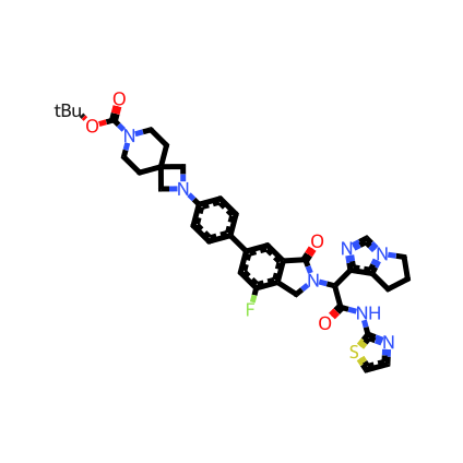 CC(C)(C)OC(=O)N1CCC2(CC1)CN(c1ccc(-c3cc(F)c4c(c3)C(=O)N(C(C(=O)Nc3nccs3)c3ncn5c3CCC5)C4)cc1)C2